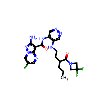 CCCC(CCNc1cnncc1NC(=O)c1c(N)nn2cc(F)cnc12)C(=O)N1CC(F)(F)C1